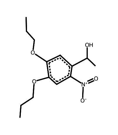 CCCOc1cc(C(C)O)c([N+](=O)[O-])cc1OCCC